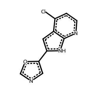 Clc1ccnc2[nH]c(-c3cnco3)cc12